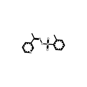 CC(=NOS(=O)(=O)c1ccccc1C)c1cccnc1